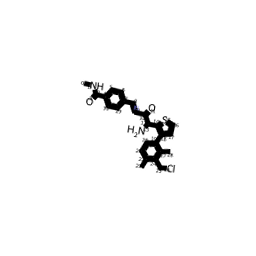 CNC(=O)c1ccc(/C=C/C(=O)C(N)c2sccc2-c2ccc(C)c(CCl)c2C)cc1